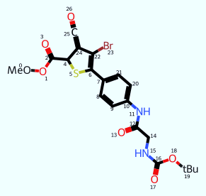 COOC(=O)C1SC(c2ccc(NC(=O)CNC(=O)OC(C)(C)C)cc2)=C(Br)C1=C=O